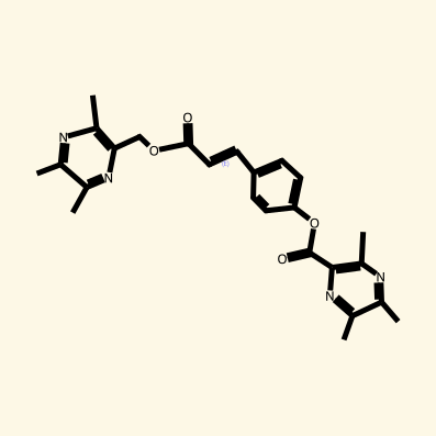 Cc1nc(C)c(COC(=O)/C=C/c2ccc(OC(=O)c3nc(C)c(C)nc3C)cc2)nc1C